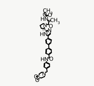 COC(=O)N[C@@H](C)C(=O)N1CCC[C@H]1c1ncc(-c2ccc(-c3ccc(C(=O)Nc4ccc(CN5CCS(=O)(=O)CC5)cc4)cc3)cc2)[nH]1